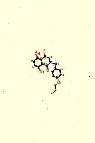 CCCOc1ccc(NC2=CC(=O)c3c(O)ccc(O)c3C2=O)cc1